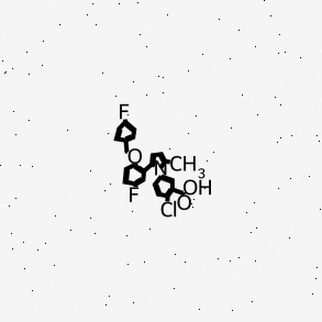 Cc1ccc(-c2cc(F)ccc2OCc2ccc(F)cc2)n1-c1ccc(Cl)c(C(=O)O)c1